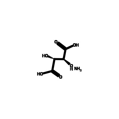 N.O=C(O)[C@@H](O)[C@@H](O)C(=O)O